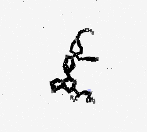 C=C(/C=N\C)c1cc2nccn2c(-c2cnn(C3(CC#N)CCN(CC)CC3)c2)n1